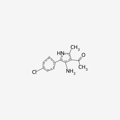 CC(=O)c1c(C)[nH]c(-c2ccc(Cl)cc2)c1N